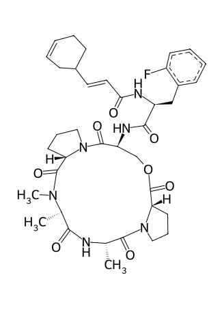 C[C@@H]1NC(=O)[C@H](C)N(C)C(=O)[C@@H]2CCCN2C(=O)[C@@H](NC(=O)[C@H](Cc2ccccc2F)NC(=O)/C=C/C2CC=CCC2)COC(=O)[C@@H]2CCCN2C1=O